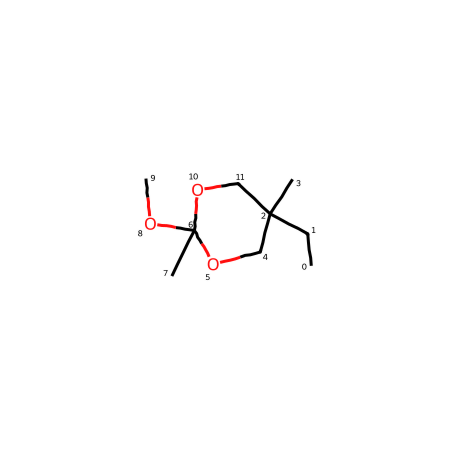 CCC1(C)COC(C)(OC)OC1